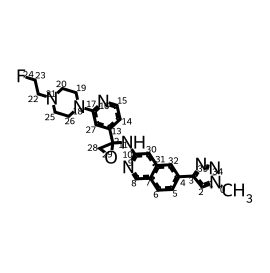 Cn1cc(-c2ccc3cnc(NC4(c5ccnc(N6CCN(CCF)CC6)c5)CO4)cc3c2)nn1